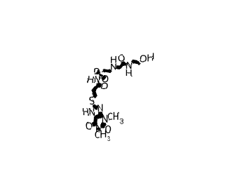 Cn1c(=O)c2[nH]c(SCCC(=O)NS(=O)(=O)CCNCC(=O)NCCO)nc2n(C)c1=O